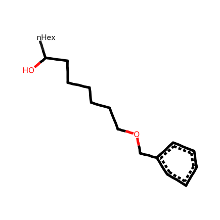 CCCCCCC(O)CCCCCCOCc1ccccc1